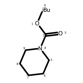 CCC(C)OC(=O)N1CC[CH]CC1